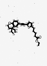 CCOC(=O)CCCCc1ccc(C#Cc2ccc3c(c2)C(CC)(CC)CCO3)s1